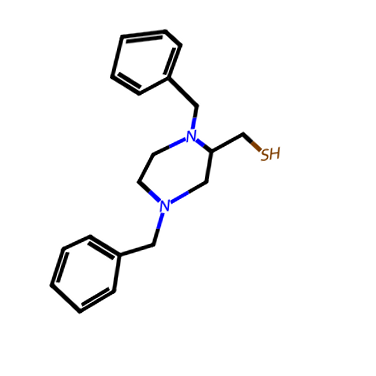 SCC1CN(Cc2ccccc2)CCN1Cc1ccccc1